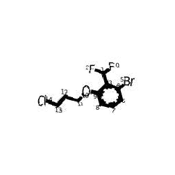 FC(F)c1c(Br)cccc1OCCCCl